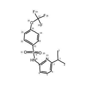 CC(C)c1cccc(NS(=O)(=O)c2ccc(OC(F)(F)F)cc2)n1